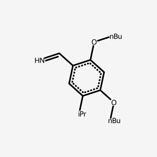 CCCCOc1cc(OCCCC)c(C(C)C)cc1C=N